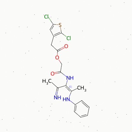 CC(=N)/C(NC(=O)COC(=O)Cc1cc(Cl)sc1Cl)=C(/C)Nc1ccccc1